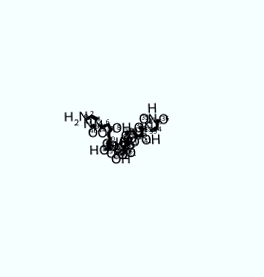 Nc1ccn([C@H]2C[C@H](O)C(COP(=O)(O)OP(=O)(O)OP(=O)(O)OP(=O)(O)OC[C@H]3O[C@@H](n4ccc(=O)[nH]c4=O)[C@H](O)[C@@H]3O)O2)c(=O)n1